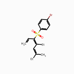 C=C/C(=C(\C=C(/C)CC)CC)S(=O)(=O)c1ccc(Br)cc1